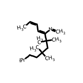 C=N/C(=C\C=C/C)C(C)(C)CC(C)(C)CCC(C)C